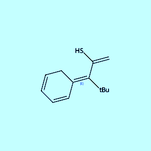 C=C(S)/C(=C1/C=CC=CC1)C(C)(C)C